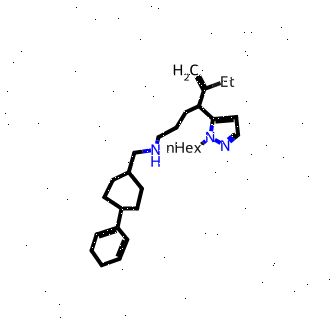 C=C(CC)C(CCCNCC1CCC(C2=CCCC=C2)CC1)c1ccnn1CCCCCC